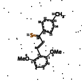 COc1cccc(OC)c1C=CC(=S)c1ccc(C)cc1